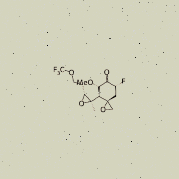 CO[C@@H]1C(=O)[C@H](F)C[C@]2(CO2)[C@H]1[C@@]1(C)O[C@@H]1CCOC(F)(F)F